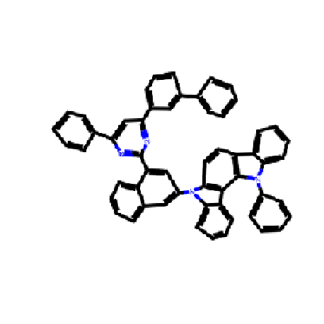 c1ccc(-c2cccc(-c3cc(-c4ccccc4)nc(-c4cc(-n5c6ccccc6c6c5ccc5c7ccccc7n(-c7ccccc7)c56)cc5ccccc45)n3)c2)cc1